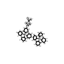 O=[N+]([O-])[O-].O=[N+]([O-])[O-].c1ccc([P+](c2ccccc2)(c2ccccc2)c2ccccc2)cc1.c1ccc([P+](c2ccccc2)(c2ccccc2)c2ccccc2)cc1